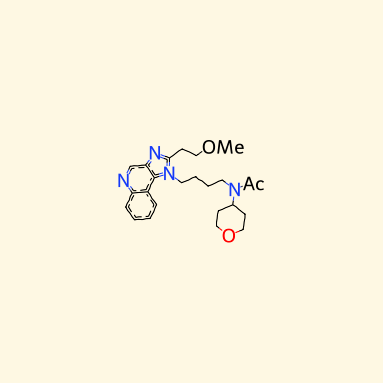 COCCc1nc2cnc3ccccc3c2n1CCCCN(C(C)=O)C1CCOCC1